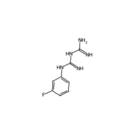 N=C(N)NC(=N)Nc1cccc(F)c1